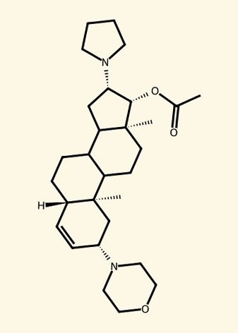 CC(=O)O[C@H]1[C@@H](N2CCCC2)CC2C3CC[C@H]4C=C[C@@H](N5CCOCC5)C[C@]4(C)C3CC[C@@]21C